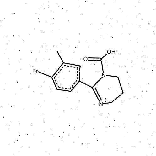 Cc1cc(C2=NCCCN2C(=O)O)ccc1Br